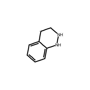 [CH]1CNNc2ccccc21